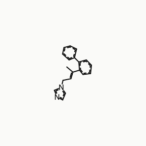 CC(=CCn1ccnc1)c1ccccc1-c1ccccc1